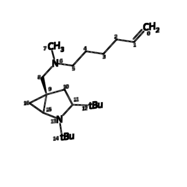 C=CCCCCN(C)C[C@@]12CC(C(C)(C)C)N(C(C)(C)C)C1C2